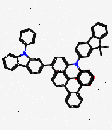 CC1(C)c2ccccc2-c2ccc(N(c3ccc(-c4ccc5c6ccccc6n(-c6ccccc6)c5c4)cc3)c3ccccc3-c3ccccc3-c3ccccc3-c3ccccc3)cc21